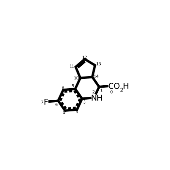 O=C(O)C1Nc2ccc(F)cc2C2C=CCC12